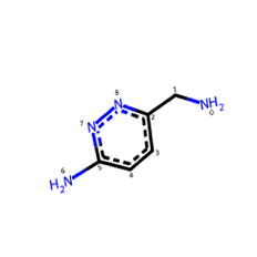 NCc1ccc(N)nn1